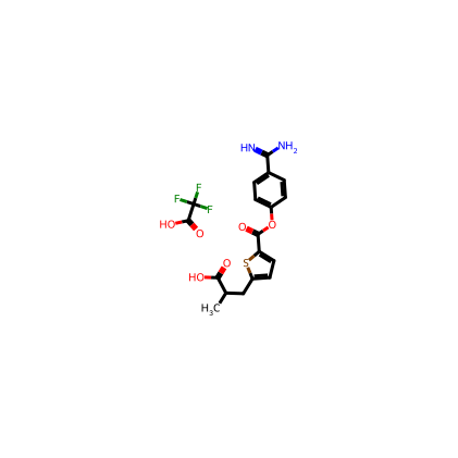 CC(Cc1ccc(C(=O)Oc2ccc(C(=N)N)cc2)s1)C(=O)O.O=C(O)C(F)(F)F